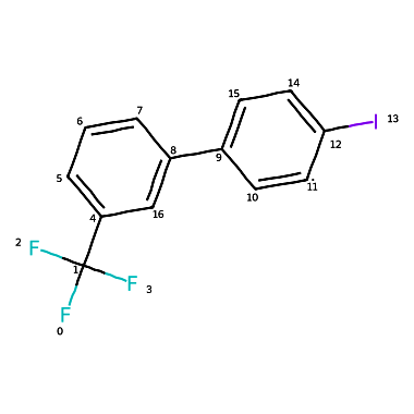 FC(F)(F)c1cccc(-c2c[c]c(I)cc2)c1